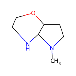 CN1CCC2OCCNC21